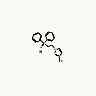 CN1C=CN(CCP(=O)(c2ccccc2)c2ccccc2)C1.I